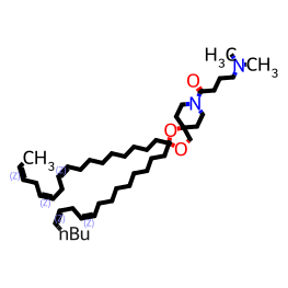 C/C=C\C/C=C\C/C=C\CCCCCCCCC1(CCCCCCCC/C=C\C/C=C\CCCC)OCC2(CCN(C(=O)CCCN(C)C)CC2)O1